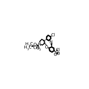 CC(C)(C)OC(=O)N1CC[C@H](c2ccc(Cl)cc2)[C@@H](COc2ccc(S(=O)(=O)Cl)cc2C#N)C1